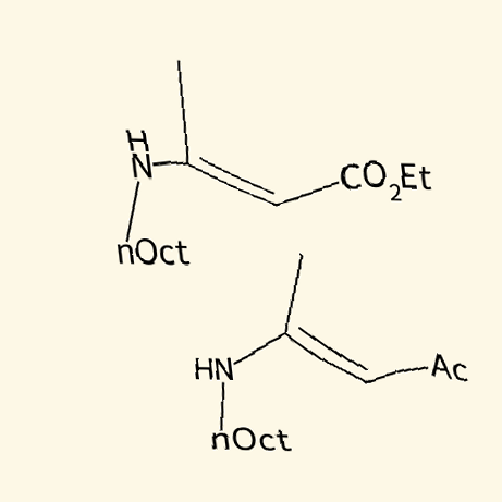 CCCCCCCCNC(C)=CC(=O)OCC.CCCCCCCCNC(C)=CC(C)=O